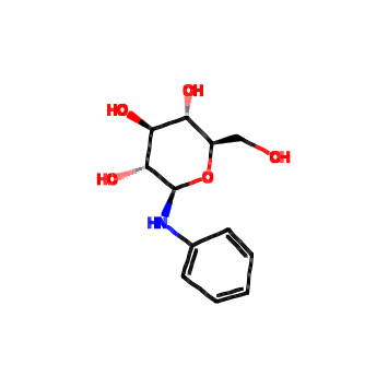 OC[C@H]1O[C@@H](Nc2ccccc2)[C@H](O)[C@@H](O)[C@@H]1O